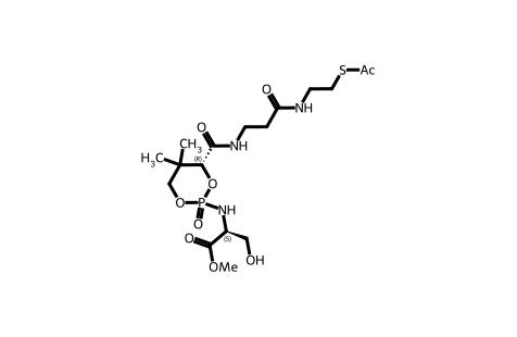 COC(=O)[C@H](CO)NP1(=O)OCC(C)(C)[C@H](C(=O)NCCC(=O)NCCSC(C)=O)O1